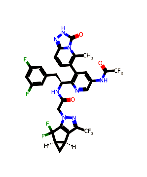 Cc1c(-c2cc(NC(=O)C(F)(F)F)cnc2[C@H](Cc2cc(F)cc(F)c2)NC(=O)Cn2nc(C(F)(F)F)c3c2C(F)(F)[C@@H]2C[C@H]32)ccc2n[nH]c(=O)n12